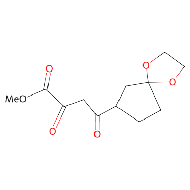 COC(=O)C(=O)CC(=O)C1CCC2(C1)OCCO2